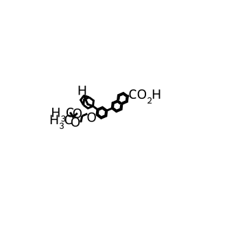 CC1(C)OCC(COc2ccc(-c3ccc4cc(C(=O)O)ccc4c3)cc2C23CC4CC(C2)[C@H](C4)C3)O1